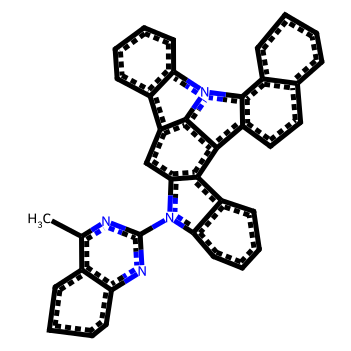 Cc1nc(-n2c3ccccc3c3c4c5ccc6ccccc6c5n5c6ccccc6c(cc32)c45)nc2ccccc12